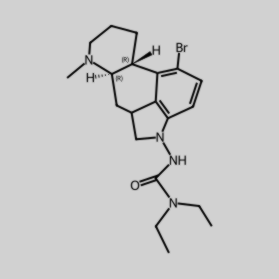 CCN(CC)C(=O)NN1CC2C[C@@H]3[C@H](CCCN3C)c3c(Br)ccc1c32